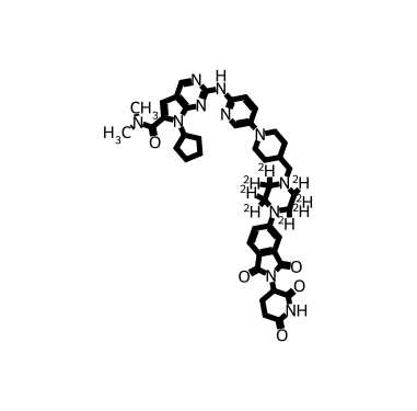 [2H]C1([2H])N(CC2CCN(c3ccc(Nc4ncc5cc(C(=O)N(C)C)n(C6CCCC6)c5n4)nc3)CC2)C([2H])([2H])C([2H])([2H])N(c2ccc3c(c2)C(=O)N(C2CCC(=O)NC2=O)C3=O)C1([2H])[2H]